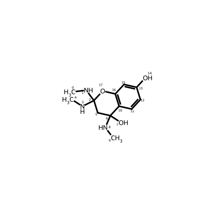 CNC1(NC)CC(O)(NC)c2ccc(O)cc2O1